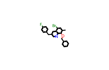 Cc1cc(Br)c2cc(Cc3ccc(F)cc3)cnc2c1OCc1ccccc1